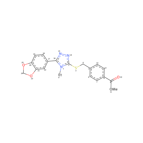 CCn1c(SCc2ccc(C(=O)OC)cc2)nnc1-c1ccc2c(c1)OCO2